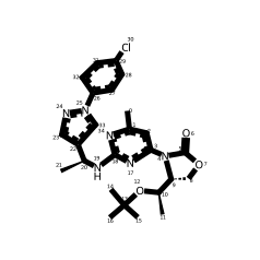 Cc1cc(N2C(=O)OC[C@@H]2[C@@H](C)OC(C)(C)C)nc(N[C@@H](C)c2cnn(-c3ccc(Cl)cc3)c2)n1